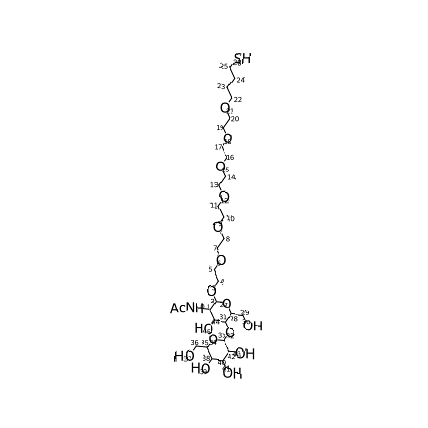 CC(=O)NC1C(OCCOCCOCCOCCOCCOCCOCCCCS)OC(CO)C(OC2OC(CO)C(O)C(O)C2O)C1O